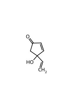 C=CC1(O)C=CC(=O)C1